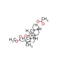 COC(=O)CC[C@@H](C)[C@H]1CC[C@H]2[C@@H]3CC[C@@H]4C[C@@H](OC(C)=O)CC[C@]4(C)C3=CC(=O)[C@]12C